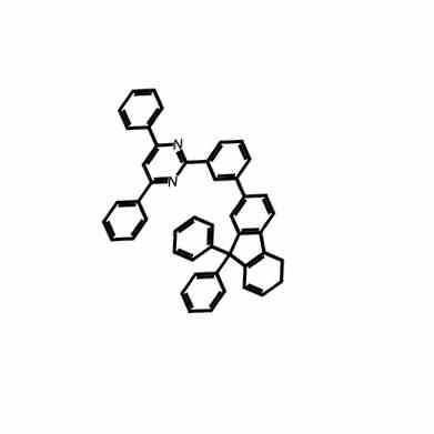 C1=CC2=C(CC1)c1ccc(-c3cccc(-c4nc(-c5ccccc5)cc(-c5ccccc5)n4)c3)cc1C2(c1ccccc1)c1ccccc1